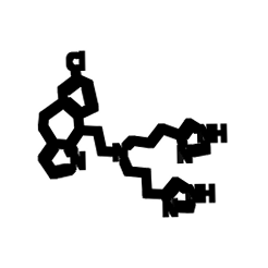 Clc1ccc2c(c1)CCc1cccnc1C2CCN(CCCc1c[nH]cn1)CCCc1c[nH]cn1